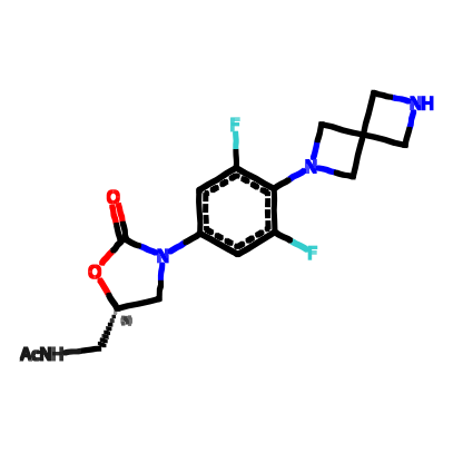 CC(=O)NC[C@H]1CN(c2cc(F)c(N3CC4(CNC4)C3)c(F)c2)C(=O)O1